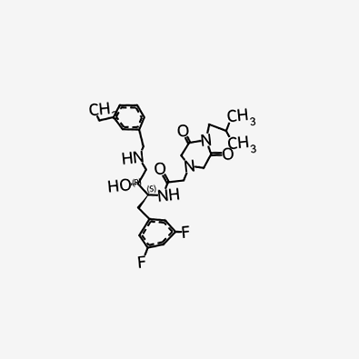 CCc1cccc(CNC[C@@H](O)[C@H](Cc2cc(F)cc(F)c2)NC(=O)CN2CC(=O)N(CC(C)C)C(=O)C2)c1